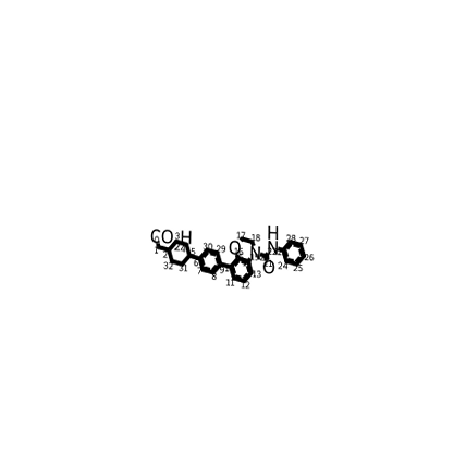 O=C(O)CC1CCC(c2ccc(-c3cccc4c3OCCN4C(=O)Nc3ccccc3)cc2)CC1